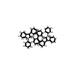 c1ccc(-n2c3ccccc3c3c4ccccc4n(-c4ccccc4-c4ccccc4-n4c5ccccc5c5c6ccccc6n(-c6ccccc6)c54)c32)cc1